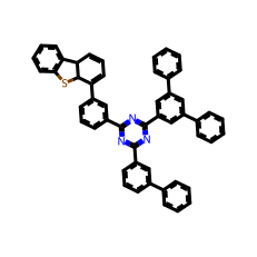 C1=CC2c3ccccc3SC2C(c2cccc(-c3nc(-c4cccc(-c5ccccc5)c4)nc(-c4cc(-c5ccccc5)cc(-c5ccccc5)c4)n3)c2)=C1